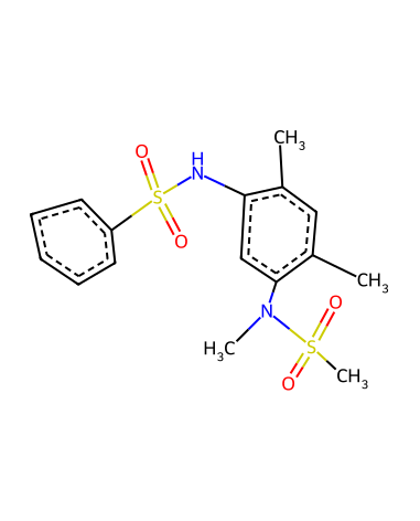 Cc1cc(C)c(N(C)S(C)(=O)=O)cc1NS(=O)(=O)c1ccccc1